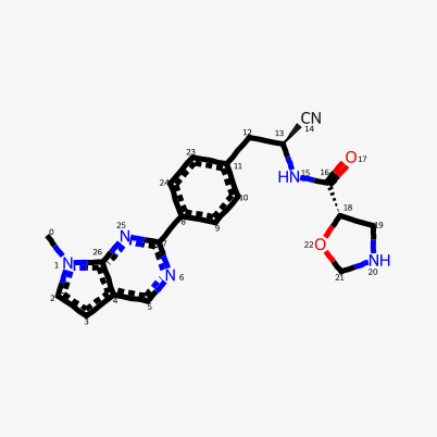 Cn1ccc2cnc(-c3ccc(C[C@@H](C#N)NC(=O)[C@@H]4CNCO4)cc3)nc21